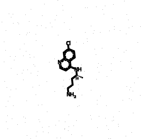 C[C@H](CCCN)Nc1ccnc2cc(Cl)ccc12